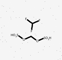 FC(F)F.O=S(=O)(O)OCOS(=O)(=O)O